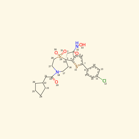 O=C(C[C@]1(c2ccc(-c3ccc(Cl)cc3)s2)CCN(C(=O)CC2CCCC2)CCS1(=O)=O)NO